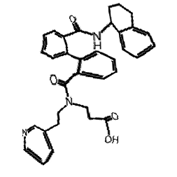 O=C(O)CCN(CCc1cccnc1)C(=O)c1ccccc1-c1ccccc1C(=O)NC1CCCc2ccccc21